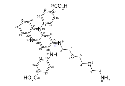 NCCOCCOCC/N=c1/cc2n(-c3ccc(C(=O)O)cc3)c3ccccc3nc-2cc1Nc1ccc(C(=O)O)cc1